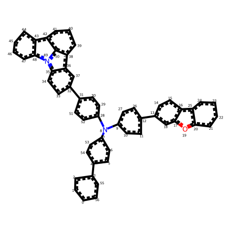 c1ccc(-c2ccc(N(c3ccc(-c4ccc5c(c4)oc4ccccc45)cc3)c3ccc(-c4ccc5c(c4)c4cccc6c7ccccc7n5c64)cc3)cc2)cc1